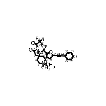 C[N+]1(C)CCC(CC(=O)OC(=O)C(F)(F)F)(NC(=O)c2ccc(C#Cc3ccccc3)o2)CC1